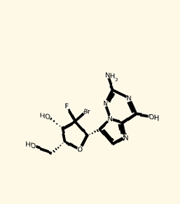 Nc1nc(O)c2ncc([C@@H]3O[C@H](CO)[C@H](O)C3(F)Br)n2n1